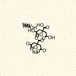 O=C(O)CC(O)(CC(=O)O)C(=O)O.O=C([O-])CC(O)(CC(=O)[O-])C(=O)[O-].OO.[Na+].[Na+].[Na+]